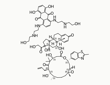 C=CC[C@H]1C(=O)C(C)(C)[C@@H](O)CC(=O)O[C@H](c2ccc3sc(C)nc3c2)C[C@@H]2O[C@]2(C)CCC[C@H](C)[C@@H]1O.C[C@]12C=CC(=O)C=C1CC[C@@H]1[C@@H]2[C@@H](O)C[C@@]2(C)[C@H]1CC[C@]2(O)C(=O)CO.O=C1c2c(O)ccc(O)c2C(=O)c2c(NCCNCCO)ccc(NCCNCCO)c21